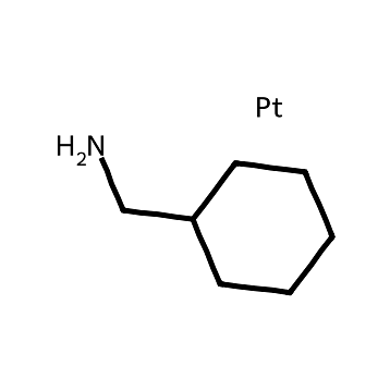 NCC1CCCCC1.[Pt]